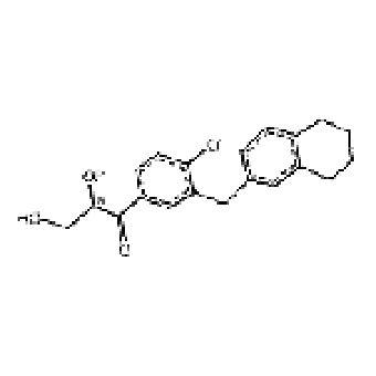 O=C(c1ccc(Cl)c(Cc2ccc3c(c2)CCCC3)c1)[C@H](O)CO